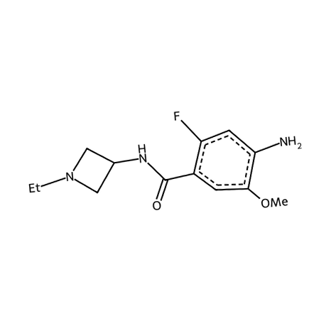 CCN1CC(NC(=O)c2cc(OC)c(N)cc2F)C1